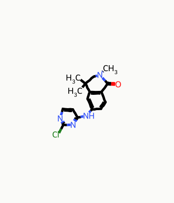 CN1CC(C)(C)c2cc(Nc3ccnc(Cl)n3)ccc2C1=O